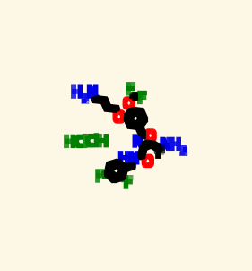 C[C@H](N)c1oc(-c2ccc(OC(F)F)c(OCCCCN)c2)nc1C(=O)NCc1ccc(F)cc1F.Cl.Cl